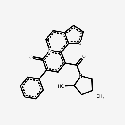 C.O=C(c1cc(-c2ccccc2)c(=O)n2ccc3ccsc3c12)N1CCCC1O